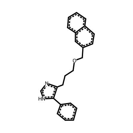 c1ccc(-c2[nH]cnc2CCCOCc2ccc3ccccc3c2)cc1